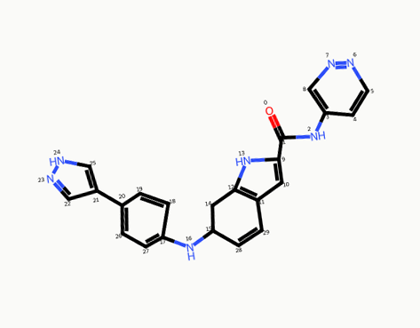 O=C(Nc1ccnnc1)c1cc2c([nH]1)CC(Nc1ccc(-c3cn[nH]c3)cc1)C=C2